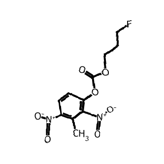 Cc1c([N+](=O)[O-])ccc(OC(=O)OCCCF)c1[N+](=O)[O-]